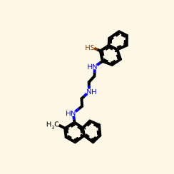 Cc1ccc2ccccc2c1NCCNCCNc1ccc2ccccc2c1S